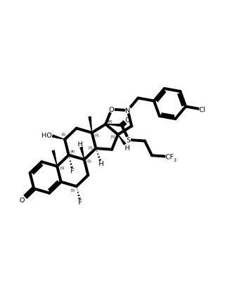 C[C@]12C=CC(=O)C=C1[C@@H](F)C[C@H]1[C@@H]3C[C@H]4CN(Cc5ccc(Cl)cc5)O[C@@]4(C(=O)SCCC(F)(F)F)[C@@]3(C)C[C@H](O)[C@@]12F